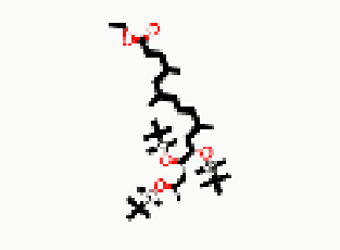 CCOC(=O)C=CC(C)=CC(C)=CC=CC(C)=C[C@H](O[Si](C)(C)C(C)(C)C)[C@H](C[C@@H](C)O[Si](C)(C)C(C)(C)C)O[Si](C)(C)C(C)(C)C